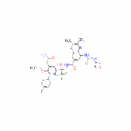 CCOc1c(CC(N)=O)cc([C@@](O)(CNC(=O)c2cc(NC(=O)NC3COC3)c3nc(C)c(C)cc3c2)C(F)(F)F)nc1-c1ccc(F)cc1